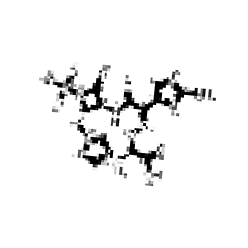 C[C@@H](ON=C(C(=O)N[C@@H]1C(=O)N(S(=O)(=O)O)[C@H]1Cn1cncn1)c1csc(N)n1)C(=O)O